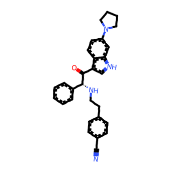 N#Cc1ccc(CCN[C@@H](C(=O)c2c[nH]c3cc(N4CCCC4)ccc23)c2ccccc2)cc1